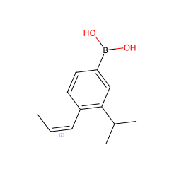 C/C=C\c1ccc(B(O)O)cc1C(C)C